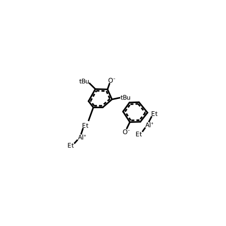 C[CH2][Al+][CH2]C.C[CH2][Al+][CH2]C.Cc1cc(C(C)(C)C)c([O-])c(C(C)(C)C)c1.[O-]c1ccccc1